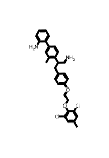 Cc1cc(Cl)c(OCCOc2ccc(CC(CN)c3ccc(-c4ccccc4N)cc3C)cc2)c(Cl)c1